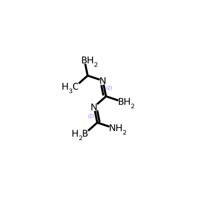 B/C(N)=N/C(B)=N\C(B)C